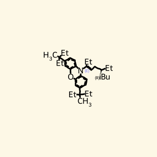 CC/C(=C\CC(CC)[C@H](C)CC)N1c2ccc(C(C)(CC)CC)cc2Oc2cc(C(C)(CC)CC)ccc21